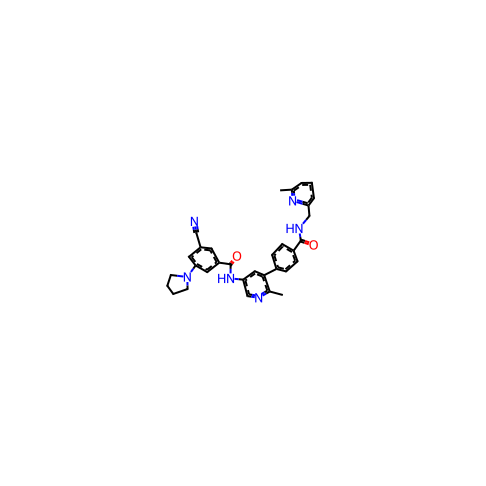 Cc1cccc(CNC(=O)c2ccc(-c3cc(NC(=O)c4cc(C#N)cc(N5CCCC5)c4)cnc3C)cc2)n1